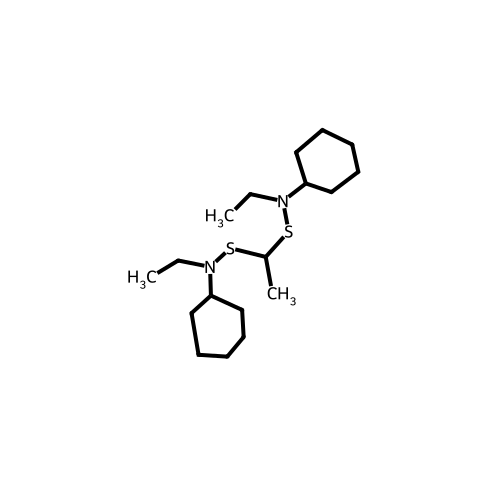 CCN(SC(C)SN(CC)C1CCCCC1)C1CCCCC1